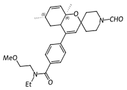 CCN(CCOC)C(=O)c1ccc(C2=CC3(CCN(C=O)CC3)O[C@]3(C)C=C[C@@H](C)CC23)cc1